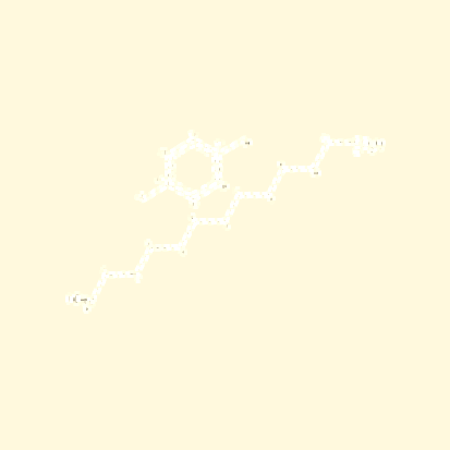 CCCCCCCCCCCCCCCCCCCCCC(=O)O.Cc1ccc(C)cc1